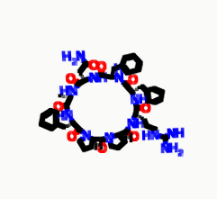 C[C@@H]1NC(=O)[C@H](CC(N)=O)NC(=O)[C@@H](Cc2ccccc2)NC(=O)[C@H](Cc2ccccc2)NC(=O)[C@H](CCCNC(=N)N)NC(=O)[C@@H]2CCCN2C(=O)[C@H]2CCCN2C(=O)[C@H](Cc2ccccc2)NC1=O